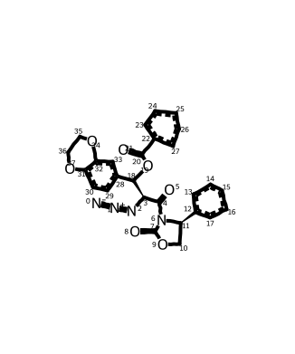 [N-]=[N+]=N[C@H](C(=O)N1C(=O)OC[C@@H]1c1ccccc1)C(OC(=O)c1ccccc1)c1ccc2c(c1)OCCO2